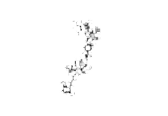 CCC(C)C(C(CC)OC)N(C)C(=O)CNC(=O)C(C(C)C)N(C)C(=O)OCc1ccc(NC(=O)CNC(=O)C(NC(CCCCCN2C(=O)C=CC2=O)C(F)(F)F)C(C)C)cc1